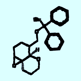 CC(C)(C)[Si](OCC1CCC2O[C@@]23CCCO[C@H]13)(c1ccccc1)c1ccccc1